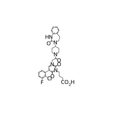 O=C(O)CCCn1c(=O)c(-c2cccc(F)c2Cl)cn(CC(=O)N2CCC(N3CCc4ccccc4NC3=O)CC2)c1=O